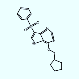 O=S(=O)(c1ccccc1)c1c[nH]c2c(OCC3CCCC3)ncnc12